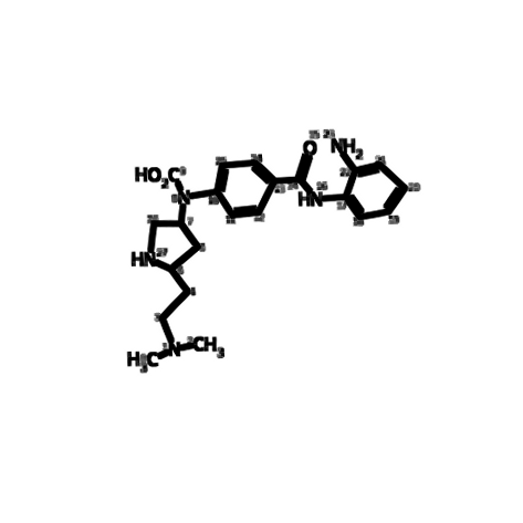 CN(C)CCC1CC(N(C(=O)O)c2ccc(C(=O)Nc3ccccc3N)cc2)CN1